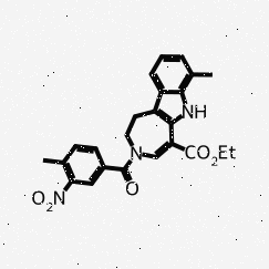 CCOC(=O)C1=CN(C(=O)c2ccc(C)c([N+](=O)[O-])c2)CCc2c1[nH]c1c(C)cccc21